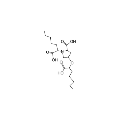 CCCCCC(OC1CC(C(=O)O)N(C(CCCCC)C(=O)O)C1)C(=O)O